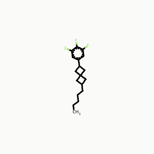 CCCCCC1CC2(C1)CC(c1cc(F)c(F)c(F)c1)C2